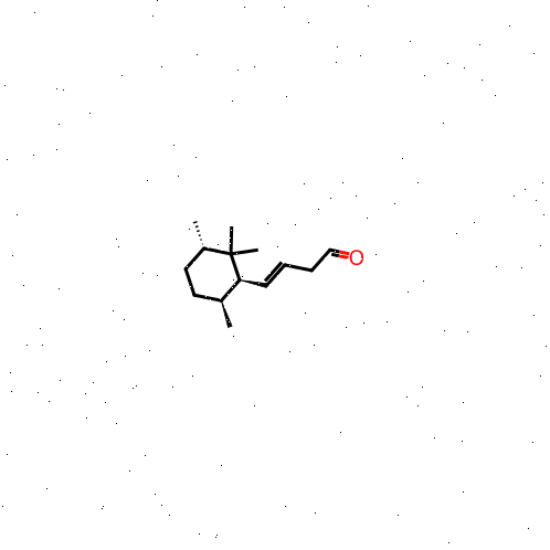 C[C@H]1CC[C@H](C)C(C)(C)[C@H]1C=CCC=O